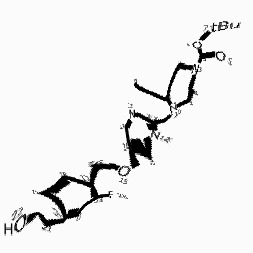 CC1CN(C(=O)OC(C)(C)C)CCN1c1ncc(OCc2ccc(CO)cc2F)cn1